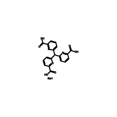 O=C(O)c1cccc(P(c2cccc(C(=O)O)n2)c2cccc(C(=O)O)n2)n1.[NaH]